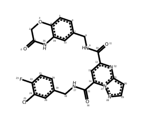 O=C1COc2ccc(CNC(=O)c3cc(C(=O)NCc4ccc(F)c(Cl)c4)n4nccc4n3)cc2N1